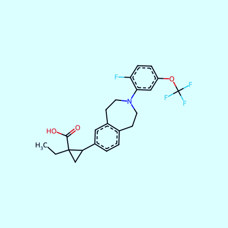 CCC1(C(=O)O)CC1c1ccc2c(c1)CCN(c1cc(OC(F)(F)F)ccc1F)CC2